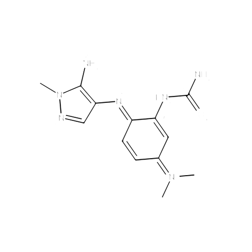 Cn1ncc(N=C2C=CC(=[N+](C)C)C=C2NC(N)=O)c1N